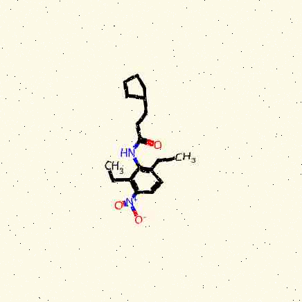 CCc1ccc([N+](=O)[O-])c(CC)c1NC(=O)CCC1CCCC1